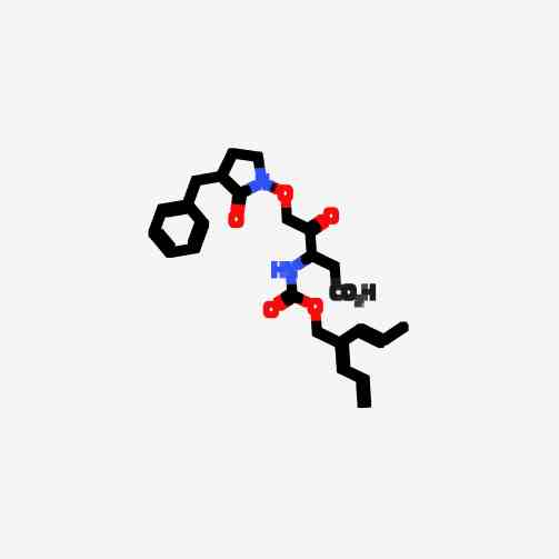 C=CC=C(C=CC)COC(=O)NC(CC(=O)O)C(=O)CON1CCC(Cc2ccccc2)C1=O